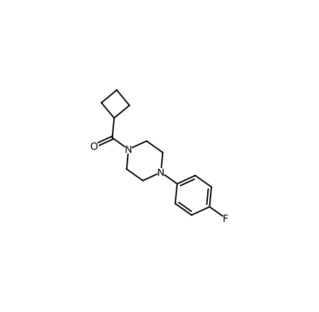 O=C(C1CCC1)N1CCN(c2ccc(F)cc2)CC1